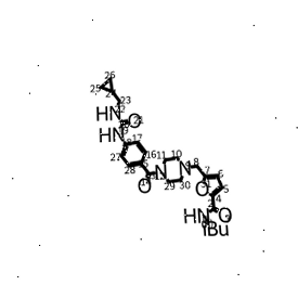 CC[C@@H](C)NC(=O)c1ccc(CN2CCN(C(=O)c3ccc(NC(=O)NCC4CC4)cc3)CC2)o1